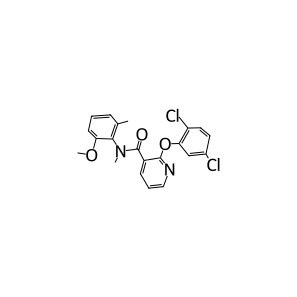 COc1cccc(C)c1N(C)C(=O)c1cccnc1Oc1cc(Cl)ccc1Cl